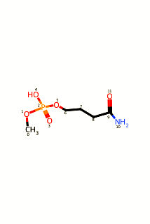 COP(=O)(O)OCCCC(N)=O